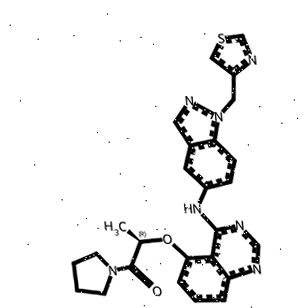 C[C@@H](Oc1cccc2ncnc(Nc3ccc4c(cnn4Cc4cscn4)c3)c12)C(=O)N1CCCC1